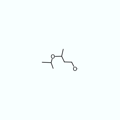 CC(C)OC(C)CC[O]